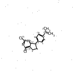 CN(C)c1ccc(C2CCc3c(Cl)nc(Cl)nc32)cc1